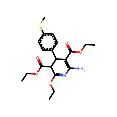 CCOC(=O)C1=C(N)N=C(OCC)C(C(=O)OCC)C1c1ccc(SC)cc1